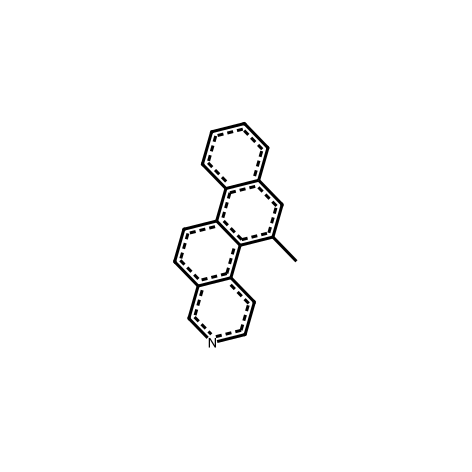 Cc1cc2ccccc2c2ccc3cnccc3c12